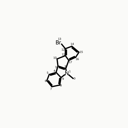 Cn1c2c(c3ccccc31)Cc1c(Br)cccc1-2